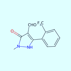 Cn1[nH]c(-c2ccccc2C(F)(F)F)c(C=O)c1=O